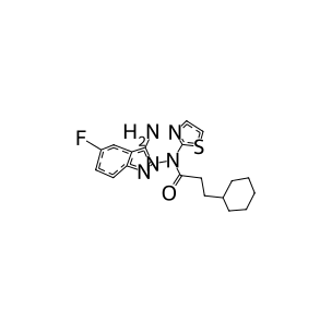 Nc1c2cc(F)ccc2nn1N(C(=O)CCC1CCCCC1)c1nccs1